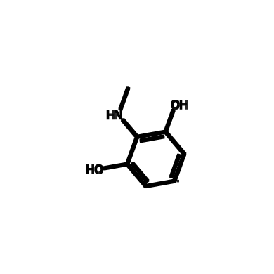 CNc1c(O)c[c]cc1O